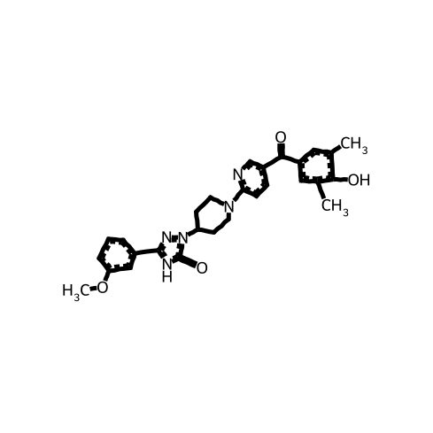 COc1cccc(-c2nn(C3CCN(c4ccc(C(=O)c5cc(C)c(O)c(C)c5)cn4)CC3)c(=O)[nH]2)c1